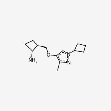 Cc1nn(C2CCC2)cc1OC[C@@H]1CC[C@H]1N